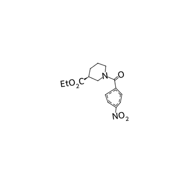 CCOC(=O)[C@H]1CCCN(C(=O)c2ccc([N+](=O)[O-])cc2)C1